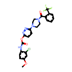 COc1ccc(NC(=O)Oc2ccc(N3CCN(C(=O)c4ccccc4C(F)(F)F)CC3)nn2)c(Cl)c1